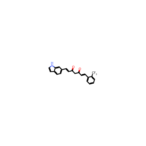 O=C(/C=C/c1ccc2cc[nH]c2c1)CC(=O)/C=C/c1ccccc1C(F)(F)F